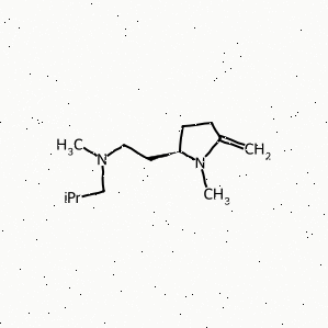 C=C1CC[C@H](CCN(C)CC(C)C)N1C